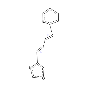 C(/C=C/c1cocn1)=C\c1ccccn1